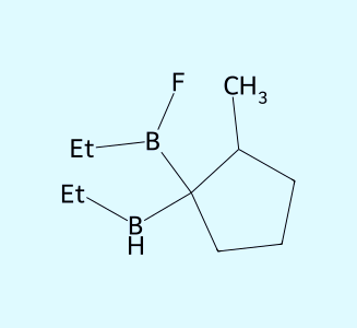 CCBC1(B(F)CC)CCCC1C